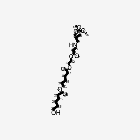 CO[Si](CCCNCCC(=O)OCCOC(=O)CCCCCOC(=O)CCCCCO)(OC)OC